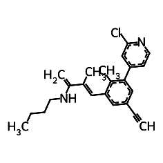 C#Cc1cc(/C=C(\C)C(=C)NCCCC)c(C)c(-c2ccnc(Cl)c2)c1